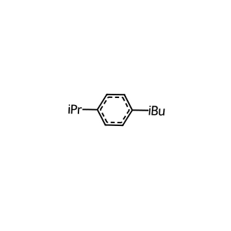 CCC(C)c1ccc(C(C)C)cc1